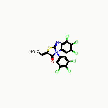 N=C1SC(=CC(=O)O)C(=O)[N+]1(c1cc(Cl)c(Cl)c(Cl)c1)c1cc(Cl)c(Cl)c(Cl)c1